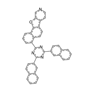 c1ccc2cc(-c3nc(-c4ccc5ccccc5c4)nc(-c4cccc5c4ccc4c6ccncc6oc54)n3)ccc2c1